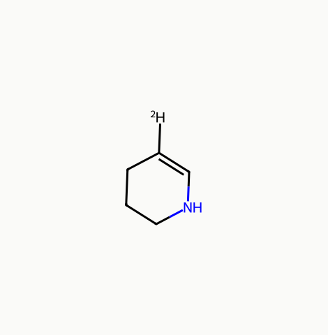 [2H]C1=CNCCC1